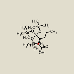 CCCC(=C(C)C(=O)O)[Si](O[Si](C)(C)C)(O[Si](C)(C)C)O[Si](C)(C)C